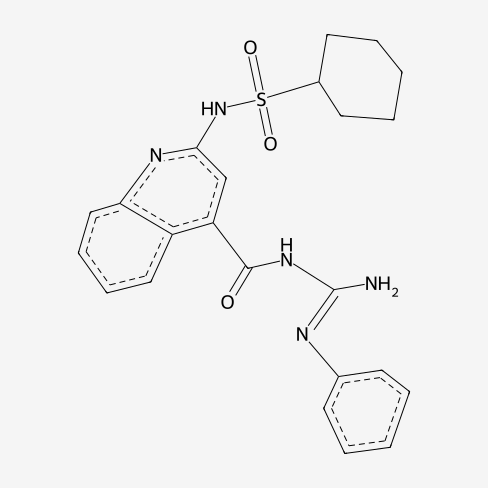 NC(=Nc1ccccc1)NC(=O)c1cc(NS(=O)(=O)C2CCCCC2)nc2ccccc12